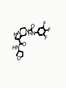 O=C(N[C@H]1CCOC1)c1cnn2c1CN(C(=O)Nc1cc(F)c(F)c(F)c1)CC2